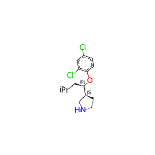 CC(C)C[C@@H](Oc1ccc(Cl)cc1Cl)[C@H]1CCNC1